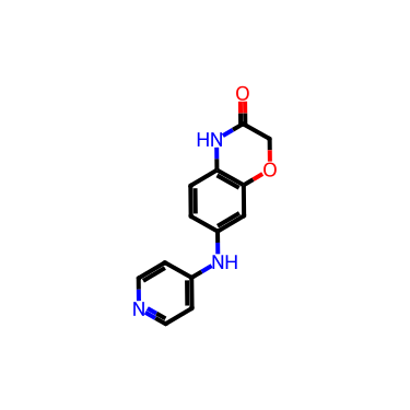 O=C1COc2cc(Nc3ccncc3)ccc2N1